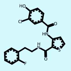 O=C(Nc1ccsc1C(=O)NCCc1ccccc1F)c1ccc(O)c(Cl)c1